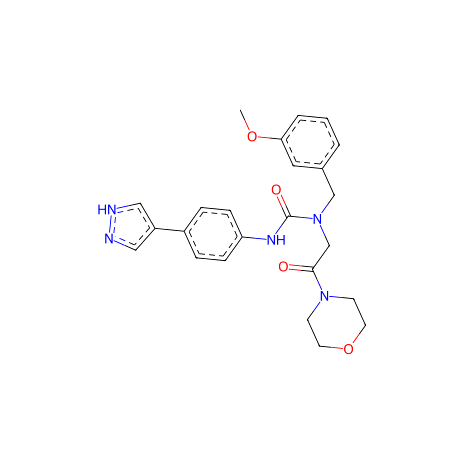 COc1cccc(CN(CC(=O)N2CCOCC2)C(=O)Nc2ccc(-c3cn[nH]c3)cc2)c1